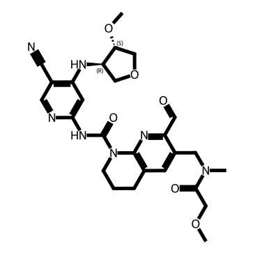 COCC(=O)N(C)Cc1cc2c(nc1C=O)N(C(=O)Nc1cc(N[C@@H]3COC[C@H]3OC)c(C#N)cn1)CCC2